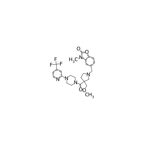 COCC1(C(=O)N2CCN(c3cc(C(F)(F)F)ccn3)CC2)CCN(Cc2ccc3oc(=O)n(C)c3c2)C1